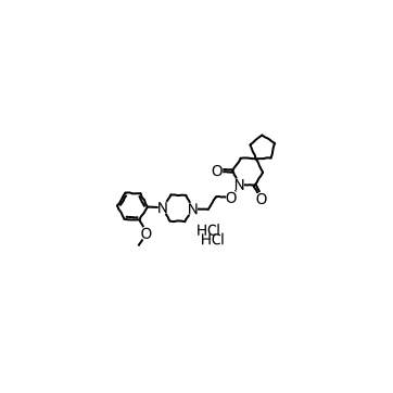 COc1ccccc1N1CCN(CCON2C(=O)CC3(CCCC3)CC2=O)CC1.Cl.Cl